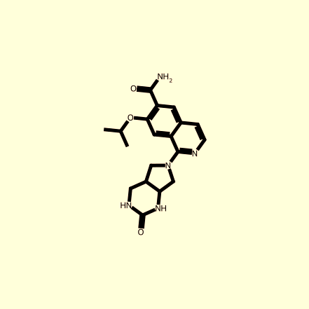 CC(C)Oc1cc2c(N3CC4CNC(=O)NC4C3)nccc2cc1C(N)=O